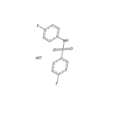 Cl.O=S(=O)(Nc1ccc(F)cc1)c1ccc(F)cc1